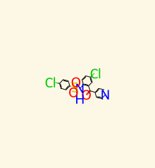 O=C(c1ccncc1)c1cc(Cl)ccc1NS(=O)(=O)c1ccc(Cl)cc1